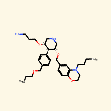 COCCCN1CCOc2ccc(CO[C@H]3CNC[C@@H](OCCCN)[C@@H]3c3ccc(COCCOC)cc3)cc21